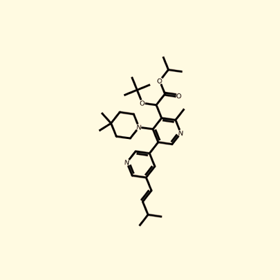 Cc1ncc(-c2cncc(/C=C/C(C)C)c2)c(N2CCC(C)(C)CC2)c1C(OC(C)(C)C)C(=O)OC(C)C